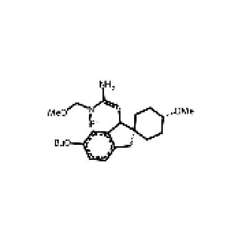 COCN(/C(N)=N\C1c2cc(OCC(C)C)ccc2C[C@]12CC[C@@H](OC)CC2)C(C)C